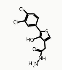 NNC(=O)Cc1csc(-c2ccc(Cl)c(Cl)c2)c1O